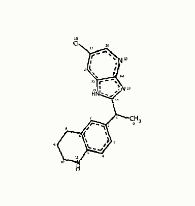 CC(c1ccc2c(c1)CCCN2)c1nc2ncc(Cl)cc2[nH]1